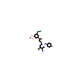 CCS(=O)(=O)c1cc(CC(F)(F)F)cc(-c2coc(-c3cc(C(F)(F)F)c(C#N)c(=O)n3Cc3ccc(F)cc3F)c2)c1